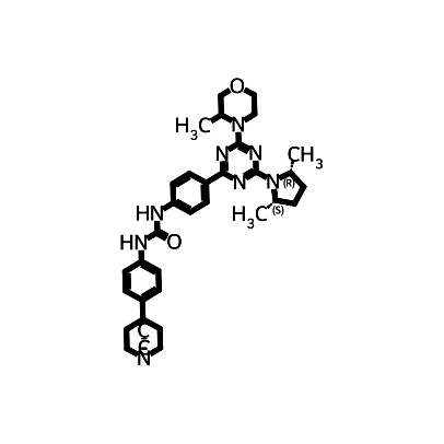 CC1COCCN1c1nc(-c2ccc(NC(=O)Nc3ccc(C45CCN(CC4)CC5)cc3)cc2)nc(N2[C@H](C)CC[C@@H]2C)n1